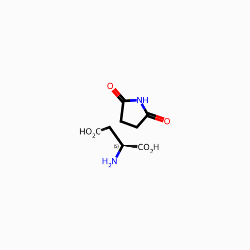 N[C@@H](CC(=O)O)C(=O)O.O=C1CCC(=O)N1